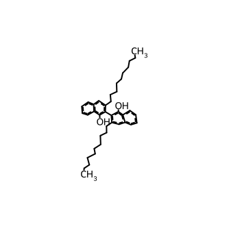 CCCCCCCCCCc1cc2ccccc2c(O)c1-c1c(CCCCCCCCCC)cc2ccccc2c1O